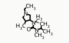 CCN1CC(C)C(N(C)C(=O)N(C)C(C)C)C1